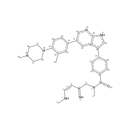 CN/C=C\C(=N)CN(C)C(=O)c1ccc(-c2c[nH]c3ncc(-c4ccc(N5CCN(C)CC5)c(C)c4)cc23)cc1